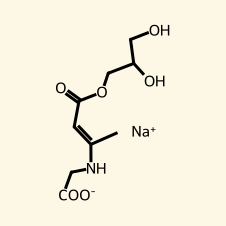 CC(=CC(=O)OCC(O)CO)NCC(=O)[O-].[Na+]